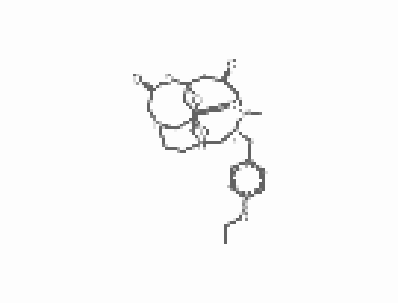 CCOc1ccc(C[C@H]2CN3CCN4CC(=O)OC(CC(=O)C3)(CC(=O)CN2C)OC(=O)C4)cc1